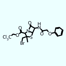 CC1(CBr)SC2C(NC(=O)COc3ccccc3)C(=O)N2C1C(=O)OCC(Cl)(Cl)Cl